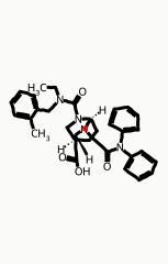 CCN(Cc1ccccc1C)C(=O)N1C[C@@H]2CC[C@H]1CN(C(=O)N(c1ccccc1)c1ccccc1)[C@@H]2C(=O)O